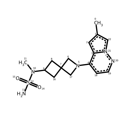 Cc1cc2c(N3CC4(CC(N(C)S(N)(=O)=O)C4)C3)ccnn2c1